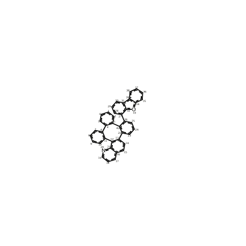 c1ccc2c(c1)-c1ccccc1-c1c(ccc3cccnc13)-c1cccc(-c3cccc4c3oc3ccccc34)c1-2